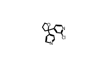 Clc1cc(C2(c3ccncc3)CCCO2)ccn1